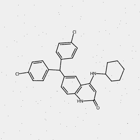 O=c1cc(NC2CCCCC2)c2cc(C(c3ccc(Cl)cc3)c3ccc(Cl)cc3)ccc2[nH]1